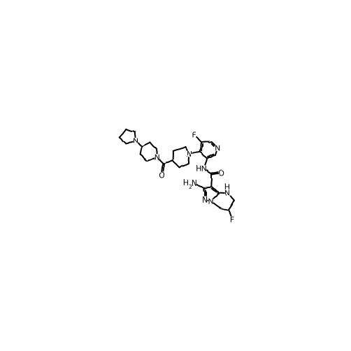 Nc1nn2c(c1C(=O)Nc1cncc(F)c1N1CCC(C(=O)N3CCC(N4CCCC4)CC3)CC1)NCC(F)C2